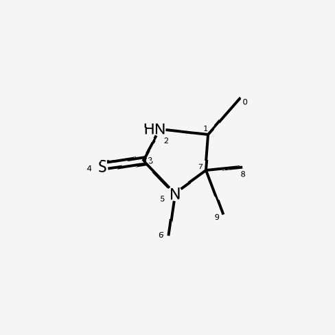 CC1NC(=S)N(C)C1(C)C